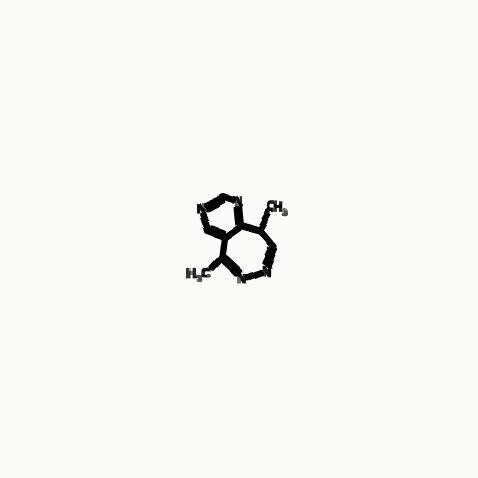 CC1=NN=CC(C)c2ncncc21